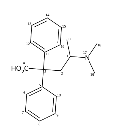 CC(CC(C(=O)O)(c1ccccc1)c1ccccc1)N(C)C